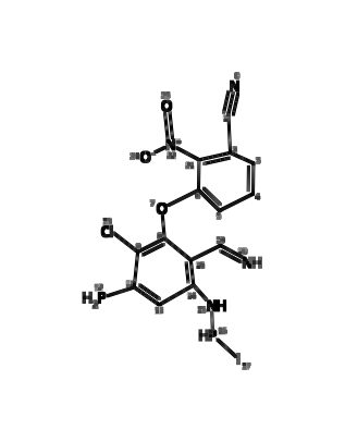 N#Cc1cccc(Oc2c(Cl)c(P)cc(NPI)c2C=N)c1[N+](=O)[O-]